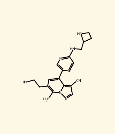 Bc1c(CCC(C)C)cc(-c2ccc(NCC3CCN3)nc2)c2c(C#N)cnn12